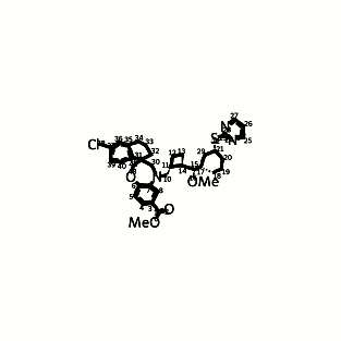 COC(=O)c1ccc2c(c1)N(C[C@@H]1CC[C@H]1[C@@H](OC)[C@H]1CCC[C@@H](Sc3ncccn3)C1)CC1(CCCc3cc(Cl)ccc31)CO2